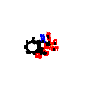 O=P(O)(O)CNC1CCCCCC1P(=O)(O)O